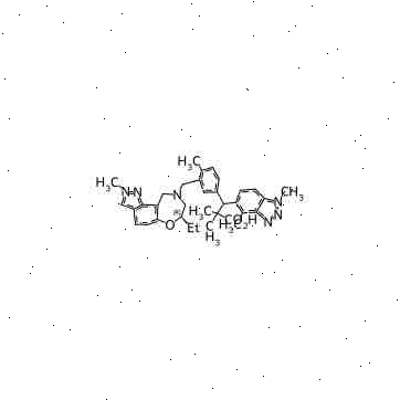 CC[C@@H]1CN(Cc2cc(C(c3ccc4c(nnn4C)c3C)C(C)(C)C(=O)O)ccc2C)Cc2c(ccc3cn(C)nc23)O1